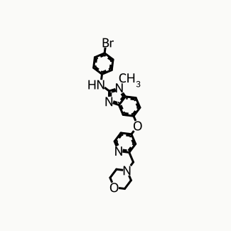 Cn1c(Nc2ccc(Br)cc2)nc2cc(Oc3ccnc(CN4CCOCC4)c3)ccc21